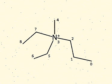 CCC[N+](C)(CC)CC